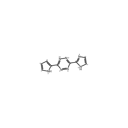 c1c[nH]c(-c2nnc(-c3ncc[nH]3)nn2)c1